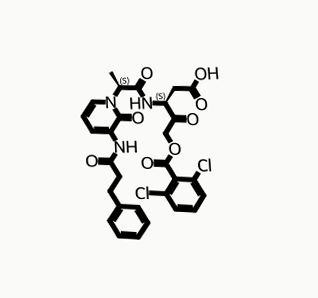 C[C@@H](C(=O)N[C@@H](CC(=O)O)C(=O)COC(=O)c1c(Cl)cccc1Cl)n1cccc(NC(=O)CCc2ccccc2)c1=O